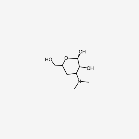 CN(C)C1CC(CO)O[C@@H](O)C1O